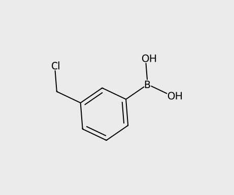 OB(O)c1cccc(CCl)c1